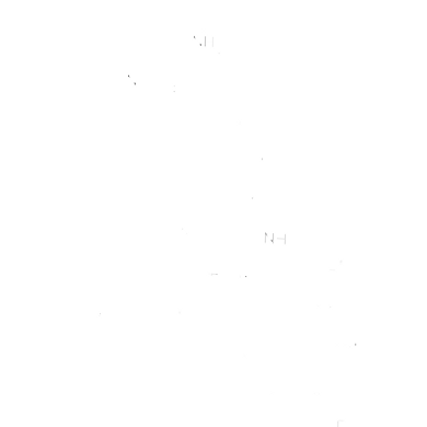 N=C(N)c1ccc2c(c1)C1c3ccccc3CC1C(c1ccc(F)cc1F)N2